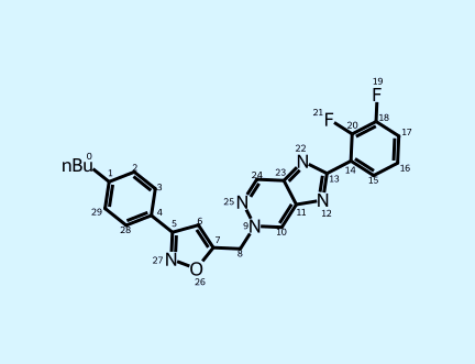 CCCCc1ccc(-c2cc(Cn3cc4nc(-c5cccc(F)c5F)nc-4cn3)on2)cc1